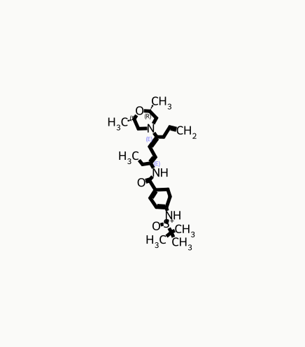 C=CC/C(=C\C=C(/CC)NC(=O)C1=CC=C(N[S+]([O-])C(C)(C)C)CC1)N1C[C@@H](C)O[C@@H](C)C1